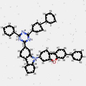 c1ccc(-c2ccc(-c3nc(-c4ccccc4)nc(-c4ccc5c6ccccc6n(-c6ccc7c(c6)oc6cc(-c8ccccc8)ccc67)c5c4)n3)cc2)cc1